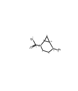 CCCN1CCN(C(=O)CC)C2CC21